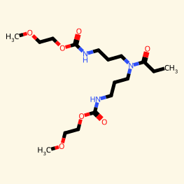 CCC(=O)N(CCCNC(=O)OCCOC)CCCNC(=O)OCCOC